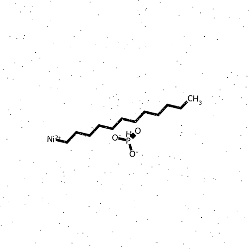 CCCCCCCCCCC[CH2][Ni+2].O=[PH]([O-])[O-]